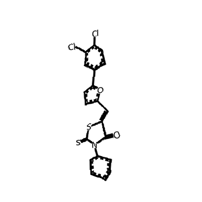 O=C1C(=Cc2ccc(-c3ccc(Cl)c(Cl)c3)o2)SC(=S)N1c1ccccc1